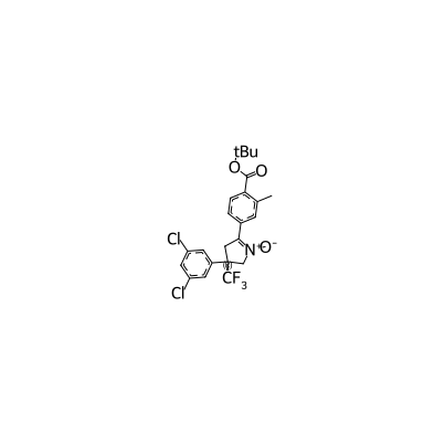 Cc1cc(C2=[N+]([O-])C[C@@](c3cc(Cl)cc(Cl)c3)(C(F)(F)F)C2)ccc1C(=O)OC(C)(C)C